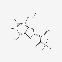 CCOc1c(C)c(C)c(O)c2c1S/C(=C(\C#N)C(=O)C(C)(C)C)S2